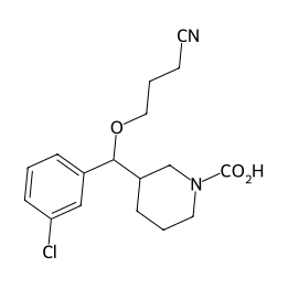 N#CCCCOC(c1cccc(Cl)c1)C1CCCN(C(=O)O)C1